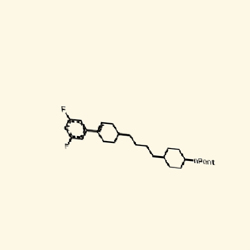 CCCCCC1CCC(CCCCC2CC=C(c3cc(F)cc(F)c3)CC2)CC1